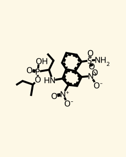 CCC(C)OP(=O)(O)C(CC)Nc1c([N+](=O)[O-])cc([N+](=O)[O-])c2c(S(N)(=O)=O)cccc12